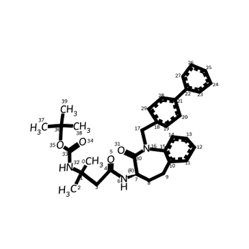 CC(C)(CC(=O)N[C@@H]1CCc2ccccc2N(Cc2ccc(-c3ccccc3)cc2)C1=O)NC(=O)OC(C)(C)C